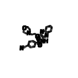 N#Cc1ccc(S(=O)(=O)Nc2nc3ccccc3nc2OCCN2CCOCC2)cc1